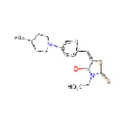 CCCCC1CCN(c2ccc(C=C3SC(=S)N(CC(=O)O)C3=O)cc2)CC1